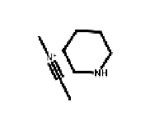 C1CCNCC1.CC#[N+]C